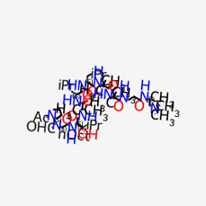 CCCCCCCC[C@@H](C(=O)N[C@H](C(=O)NC(C)(C)C(=O)N[C@@H](CC(C)C)C(=O)N[C@@H](CC(C)C)C(=O)NC(C)(C)C(=O)NC(C)(C)C(=O)NCCC(=O)N[C@@H](C)CN(C)C)[C@H](O)C(C)C)N(C=O)[C@@H]1CCCN1C(C)=O